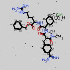 CC(=O)O.CN(C)C(=O)[C@@H](Cc1ccc(C(=N)N)cc1)C(=O)N[C@H](C(=O)NC(CCCNC(=N)N)C(=O)OCc1ccccc1)C1CCCCC1.Cl